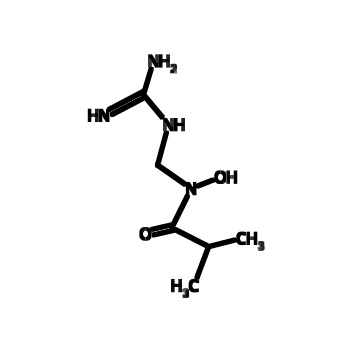 CC(C)C(=O)N(O)CNC(=N)N